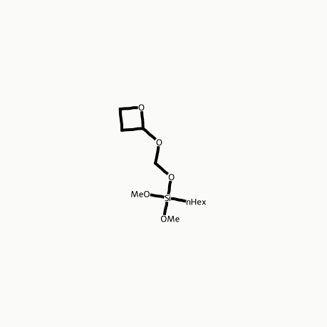 CCCCCC[Si](OC)(OC)OCOC1CCO1